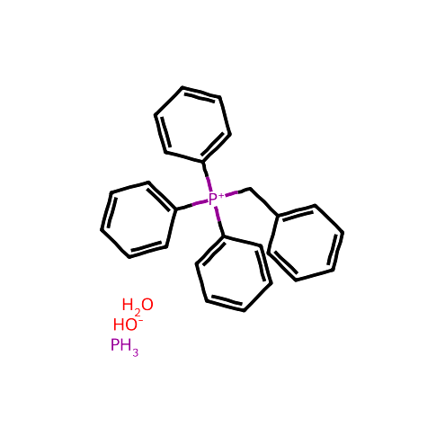 O.P.[OH-].c1ccc(C[P+](c2ccccc2)(c2ccccc2)c2ccccc2)cc1